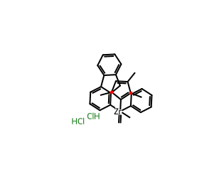 Cl.Cl.[CH2]=[Zr]([CH3])([C]1=C(C)C(C)=CC1C)([c]1ccccc1)[c]1cccc2c1Cc1ccccc1-2